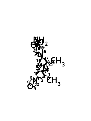 CCc1cc(N2CCOCC2)cc2[s+]c3cc(N4CCN(S(N)(=O)=O)CC4)cc(CC)c3nc12